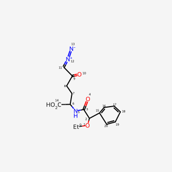 CCOC(C(=O)NC(CCC(=O)C=[N+]=[N-])C(=O)O)c1ccccc1